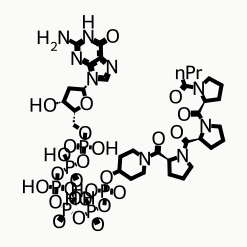 CCCC(=O)N1CCC[C@H]1C(=O)N1CCC[C@H]1C(=O)N1CCC[C@H]1C(=O)N1CCC(OP(=O)(O)OP(=O)(O)OP(=O)(O)OP(=O)(O)OP(=O)(O)OP(=O)(O)OC[C@H]2O[C@@H](n3cnc4c(=O)[nH]c(N)nc43)C[C@H]2O)CC1